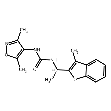 Cc1noc(C)c1NC(=O)N[C@@H](C)c1oc2ccccc2c1C